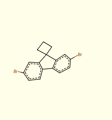 Brc1ccc2c(c1)C1(CCC1)c1cc(Br)ccc1-2